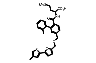 CSCCC(NC(=O)c1ccc(COCc2ccc(-c3cc(C)cs3)o2)cc1-c1ccccc1C)C(=O)O